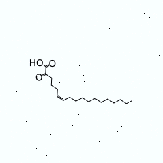 CCCCCCCCCCC/C=C\CCCC(=O)C(=O)O